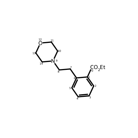 CCOC(=O)c1ccccc1CCN1CCOCC1